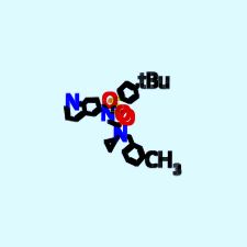 Cc1cccc(CN(C(=O)CN(c2ccc3ncccc3c2)S(=O)(=O)c2ccc(C(C)(C)C)cc2)C2CC2)c1